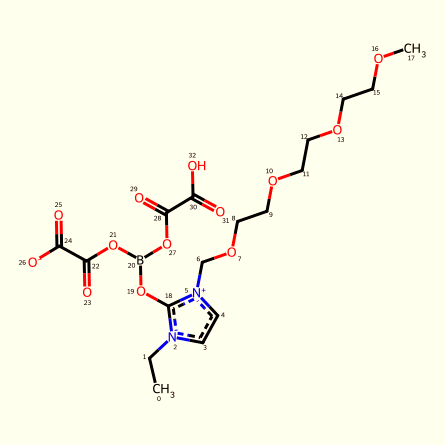 CCn1cc[n+](COCCOCCOCCOC)c1OB(OC(=O)C(=O)[O-])OC(=O)C(=O)O